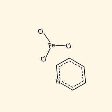 [Cl][Fe]([Cl])[Cl].c1ccncc1